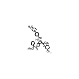 COC(C(=O)N1Cc2c(NC(=O)c3ccc(N4CCN(C)CC4)cc3)nn(C(=O)O[C@@H]3C[C@H](C)CC[C@H]3C(C)C)c2C1)c1ccccc1